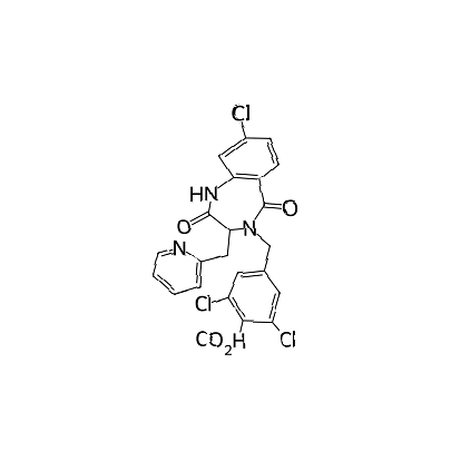 O=C(O)c1c(Cl)cc(CN2C(=O)c3ccc(Cl)cc3NC(=O)C2Cc2ccccn2)cc1Cl